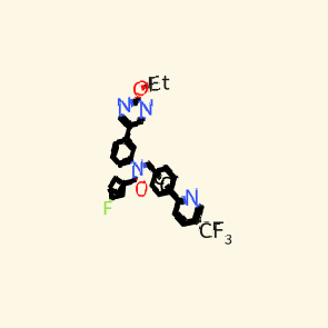 CCOc1ncc(-c2cccc(N(CC34CCC(c5ccc(C(F)(F)F)cn5)(CC3)CC4)C(=O)C34CC(F)C(C3)C4)c2)cn1